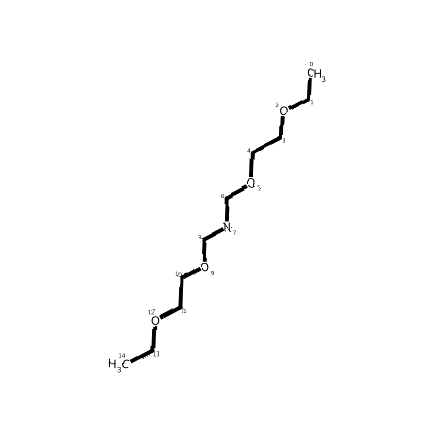 CCOCCOC[N]COCCOCC